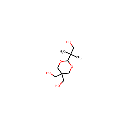 CC(C)(CO)C1OCC(CO)(CO)CO1